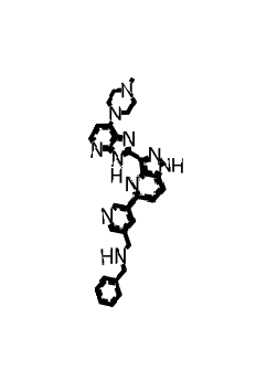 CN1CCN(c2ccnc3[nH]c(-c4n[nH]c5ccc(-c6cncc(CNCc7ccccc7)c6)nc45)nc23)CC1